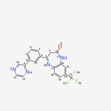 O=C1CC(c2cccc(-c3cnccn3)c2)=Nc2ccc(C(F)(F)F)cc2N1